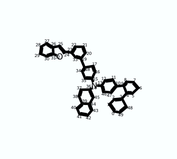 c1ccc(-c2ccccc2-c2ccc(N(c3ccc(-c4cccc(-c5cc6ccccc6o5)c4)cc3)c3ccc4ccccc4c3)cc2)cc1